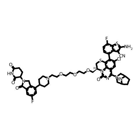 N#Cc1c(N)sc2c(F)ccc(-c3c(Cl)cc4c(N5CC6CCC(C5)N6)nc(=O)n5c4c3SC[C@@H]5COCCOCCOCCN3CCC(c4cc(F)cc5c4CN(C4CCC(=O)NC4=O)C5=O)CC3)c12